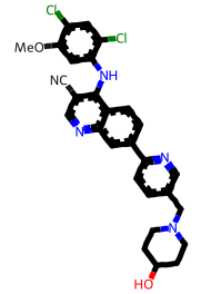 COc1cc(Nc2c(C#N)cnc3cc(-c4ccc(CN5CCC(O)CC5)cn4)ccc23)c(Cl)cc1Cl